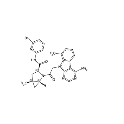 C[C@@]12C[C@@H](C(=O)Nc3cccc(Br)n3)N(C(=O)Cn3c4ncnc(N)c4c4cccc(C(F)(F)F)c43)[C@@H]1C2